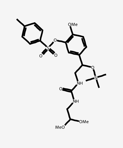 COc1ccc(C(CNC(=O)NCC(OC)OC)O[Si](C)(C)C)cc1OS(=O)(=O)c1ccc(C)cc1